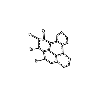 O=c1c(Br)c2c(Br)cc3cccc4c5ccccc5c(c1=O)c2c34